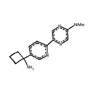 CNc1cnc(-c2ccc(C3(N)CCC3)cn2)cn1